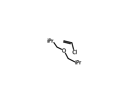 C=CCl.CC(C)COCC(C)C